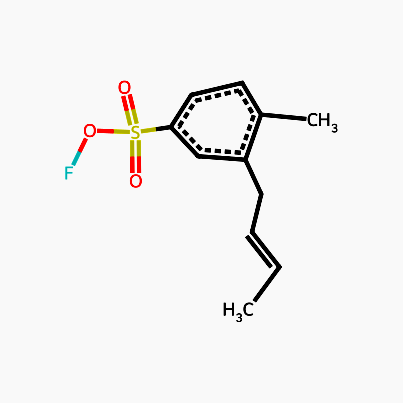 CC=CCc1cc(S(=O)(=O)OF)ccc1C